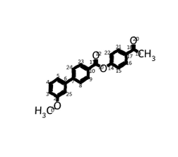 COc1cccc(-c2ccc(C(=O)Oc3ccc(C(C)=O)cc3)cc2)c1